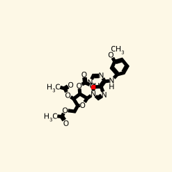 COc1cccc(Nc2ncnc3c2ncn3C2OC(COC(C)=O)C(OC(C)=O)C2OC(C)=O)c1